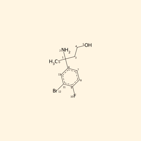 CC(N)(CCO)c1ccc(F)c(Br)c1